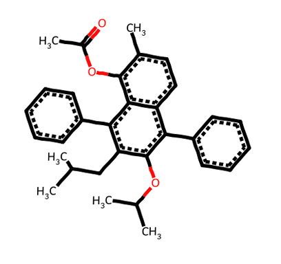 CC(=O)Oc1c(C)ccc2c(-c3ccccc3)c(OC(C)C)c(CC(C)C)c(-c3ccccc3)c12